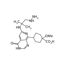 COC1(C(=O)O)CCC(c2nc(NC(C)(C)CNN)cc3c(=O)[nH]cnc23)CC1